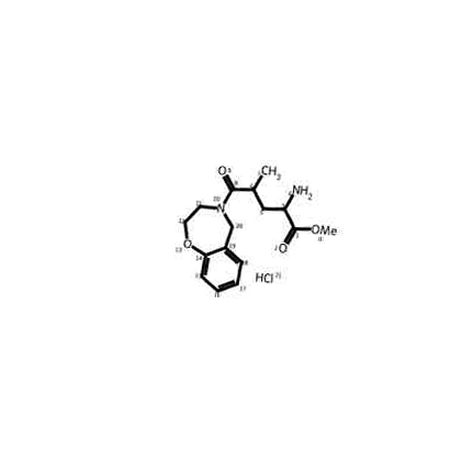 COC(=O)C(N)CC(C)C(=O)N1CCOc2ccccc2C1.Cl